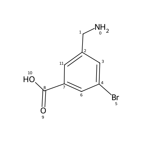 NCc1cc(Br)cc(C(=O)O)c1